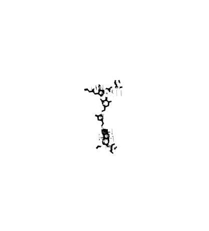 C=CCC(O)CC1[C@H](CC2OC(CC[C@@H]3OC(CC[C@@]45C[C@H]6O[C@H]7C(O4)C(O[Si](CC)(CC)CC)[C@H](CC=C)O[C@H]7C6O5)CC3=C)CC(C)C2=C)O[C@H](CC(CO[Si](CC)(CC)CC)OS)[C@@H]1OC